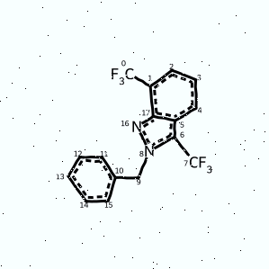 FC(F)(F)c1cccc2c(C(F)(F)F)n(Cc3ccccc3)nc12